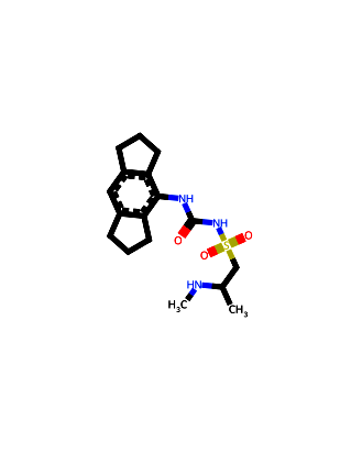 CNC(C)CS(=O)(=O)NC(=O)Nc1c2c(cc3c1CCC3)CCC2